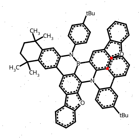 CC(C)(C)c1ccc(N2B3c4cc5c(cc4N(c4ccc(C(C)(C)C)cc4-c4ccccc4)c4c3c(cc3c4oc4ccccc43)-c3cc4c(cc32)C(C)(C)CCC4(C)C)oc2ccccc25)cc1